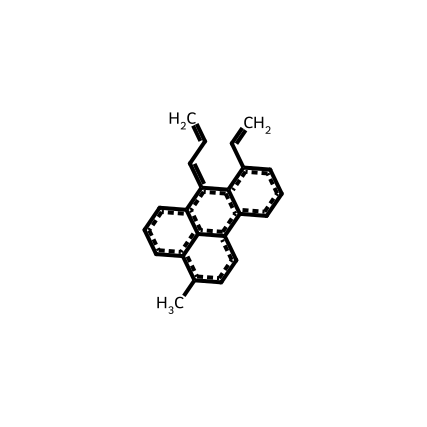 C=C/C=c1/c2cccc3c(C)ccc(c4cccc(C=C)c14)c32